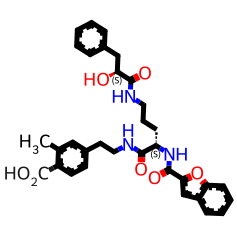 Cc1cc(CCNC(=O)[C@H](CCCNC(=O)[C@@H](O)Cc2ccccc2)NC(=O)c2cc3ccccc3o2)ccc1C(=O)O